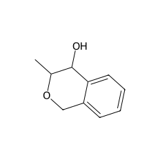 CC1OCc2ccccc2C1O